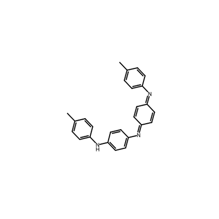 Cc1ccc(N=C2C=CC(=Nc3ccc(Nc4ccc(C)cc4)cc3)C=C2)cc1